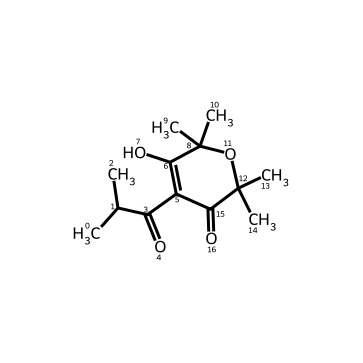 CC(C)C(=O)C1=C(O)C(C)(C)OC(C)(C)C1=O